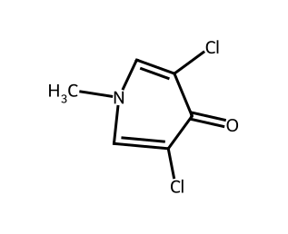 Cn1cc(Cl)c(=O)c(Cl)c1